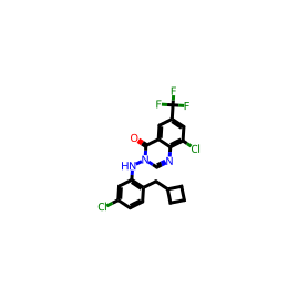 O=c1c2cc(C(F)(F)F)cc(Cl)c2ncn1Nc1cc(Cl)ccc1CC1CCC1